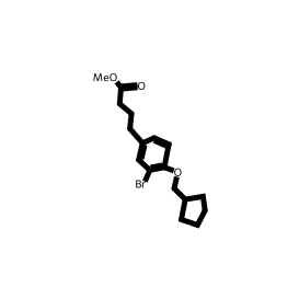 COC(=O)CCCc1ccc(OCC2CCCC2)c(Br)c1